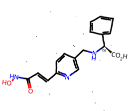 O=C(C=Cc1ccc(CN[C@H](C(=O)O)c2ccccc2)cn1)NO